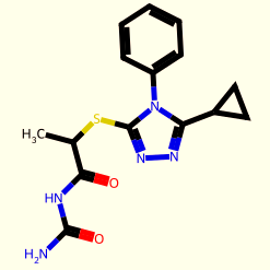 CC(Sc1nnc(C2CC2)n1-c1ccccc1)C(=O)NC(N)=O